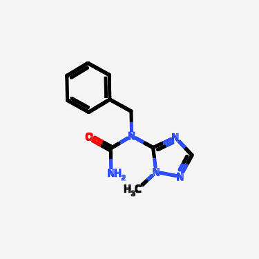 Cn1ncnc1N(Cc1ccccc1)C(N)=O